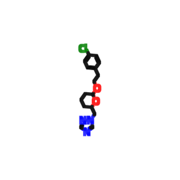 Clc1ccc(CCOC2CCCC(Cn3cncn3)O2)cc1